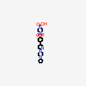 O=C(O)N1CCN(S(=O)(=O)c2ccc(-c3ccc(N4CCN(C5CCCC5)CC4)nc3)cc2)CC1